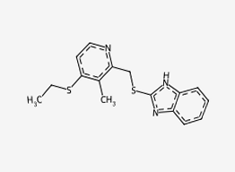 CCSc1ccnc(CSc2nc3ccccc3[nH]2)c1C